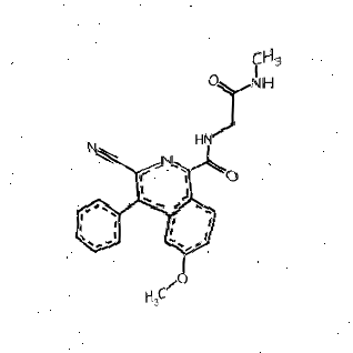 CNC(=O)CNC(=O)c1nc(C#N)c(-c2ccccc2)c2cc(OC)ccc12